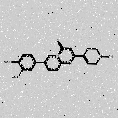 COc1ccc(-c2ccc3nc(C4=CCN(C)CC4)cc(=O)n3c2)cc1OC